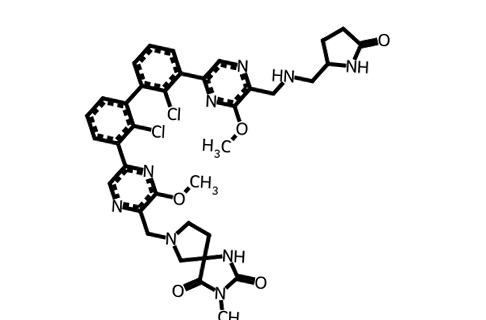 COc1nc(-c2cccc(-c3cccc(-c4cnc(CN5CCC6(C5)NC(=O)N(C)C6=O)c(OC)n4)c3Cl)c2Cl)cnc1CNCC1CCC(=O)N1